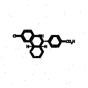 O=C(O)c1ccc([C@H]2Nc3ccc(Cl)cc3[C@@H]3SCCC[C@H]23)cc1